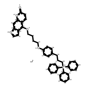 O=c1ccc2c(OCCCCOc3ccc(CCC[P+](c4ccccc4)(c4ccccc4)c4ccccc4)cc3)c3ccoc3cc2o1.[I-]